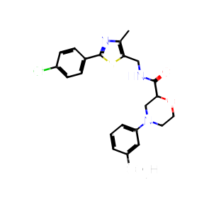 Cc1nc(-c2ccc(Cl)cc2)sc1CNC(=O)C1CN(c2cccc(C(=O)O)c2)CCO1